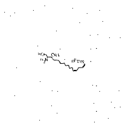 CCCCC/C=C\C/C=C\CCCCCCCC[C@H](O)[C@@H](N)CO